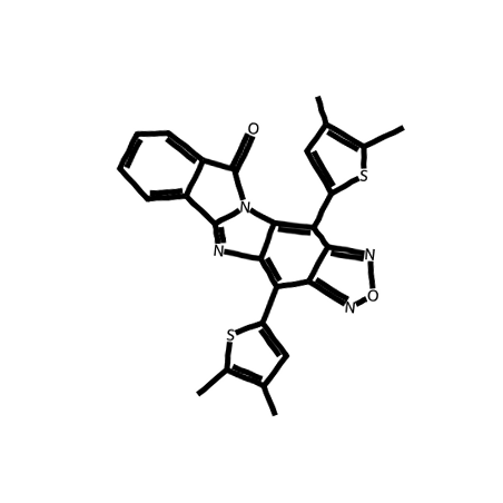 Cc1cc(-c2c3nonc3c(-c3cc(C)c(C)s3)c3c2nc2n3C(=O)c3ccccc3-2)sc1C